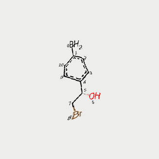 Bc1ccc([C@H](O)CBr)cc1